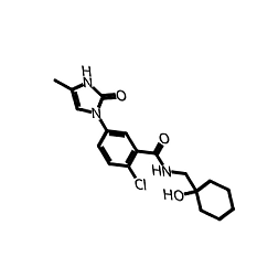 Cc1cn(-c2ccc(Cl)c(C(=O)NCC3(O)CCCCC3)c2)c(=O)[nH]1